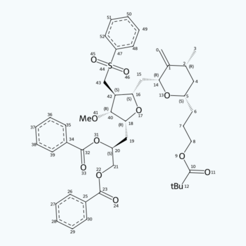 C=C1[C@H](C)C[C@H](CCCOC(=O)C(C)(C)C)O[C@@H]1C[C@@H]1O[C@H](C[C@@H](COC(=O)c2ccccc2)OC(=O)c2ccccc2)[C@H](OC)[C@H]1CS(=O)(=O)c1ccccc1